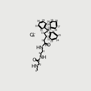 CNCC(=O)NCCNC(=O)CCC[P+](c1ccccc1)(c1ccccc1)c1ccccc1.[Cl-]